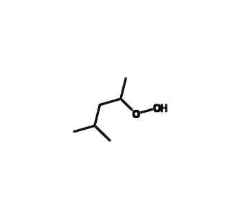 CC(C)CC(C)OO